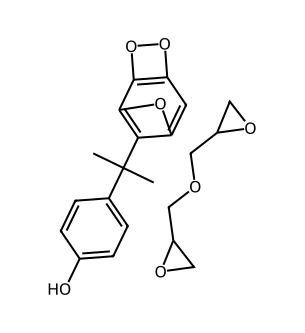 C(OCC1CO1)C1CO1.CC(C)(c1ccc(O)cc1)c1c2cc3ooc3c1O2